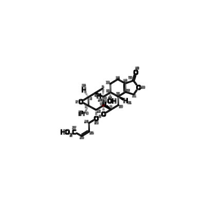 CC(C)[C@]12O[C@H]1[C@@H]1C[C@]13[C@]1(O[C@H]1C[C@H]1C4=C(CC[C@@]13O)C(=O)OC4)[C@@H]2OC/C=C\C(=O)O